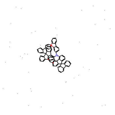 c1ccc(-c2ccccc2C2(c3ccccc3-c3ccccc3)c3ccccc3-c3c(N(c4ccc5c(c4)oc4ccccc45)c4cccc5c4-c4ccccc4C54c5ccccc5-c5ccccc54)cccc32)cc1